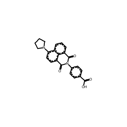 O=C(O)c1ccc(N2C(=O)c3cccc4c(N5CCCC5)ccc(c34)C2=O)cc1